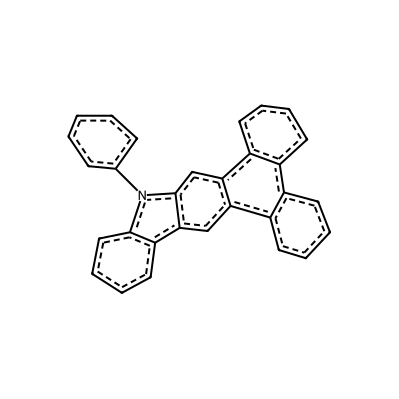 c1ccc(-n2c3ccccc3c3cc4c5ccccc5c5ccccc5c4cc32)cc1